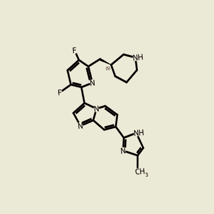 Cc1c[nH]c(-c2ccn3c(-c4nc(C[C@@H]5CCCNC5)c(F)cc4F)cnc3c2)n1